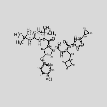 CC(C)(C)NC(=O)N[C@H](C(=O)N1C[C@H](Oc2ccc(Cl)cn2)C[C@H]1C(=O)NC(CC1CCC1)C(=O)c1noc(C2CC2)n1)C(C)(C)C